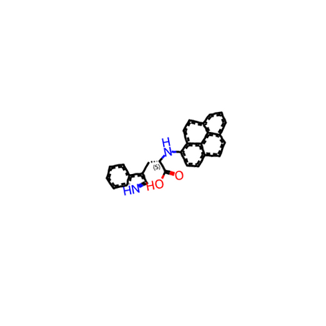 O=C(O)[C@H](Cc1c[nH]c2ccccc12)Nc1ccc2ccc3cccc4ccc1c2c34